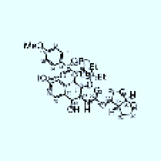 CC[Si](CC)(CC)O[C@H](CN(CC(C)C)S(=O)(=O)c1ccc(OC)cc1)[C@@H](NC(=O)O[C@H]1CO[C@H]2OCC[C@H]21)C(O)c1ccc(O)nc1